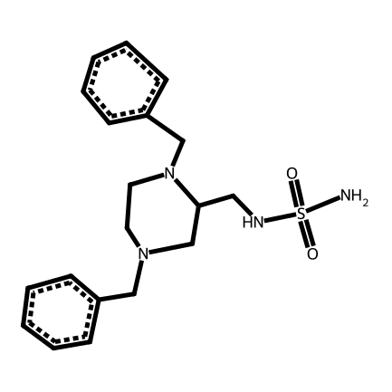 NS(=O)(=O)NCC1CN(Cc2ccccc2)CCN1Cc1ccccc1